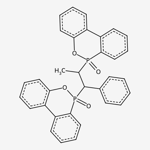 CC(C(c1ccccc1)P1(=O)Oc2ccccc2-c2ccccc21)P1(=O)Oc2ccccc2-c2ccccc21